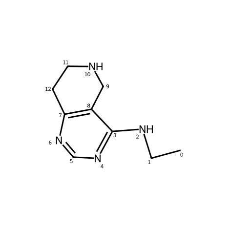 CCNc1ncnc2c1CNCC2